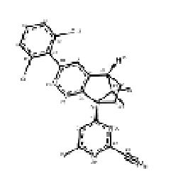 Cc1cc([C@@]23CC[C@@H](c4cc(-c5c(F)cccc5F)nnc42)C3(C)C)nc(C#N)n1